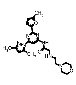 Cc1cc(C)n(-c2cc(NC(=O)CNCCN3CCOCC3)nc(-c3ccc(C)o3)n2)n1